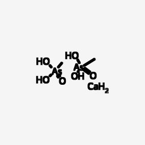 C[As](=O)(O)O.C[As](=O)(O)O.[CaH2]